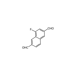 O=Cc1cc(F)c2cc(C=O)ccc2c1